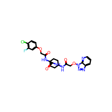 O=C(COn1nnc2cccnc21)NC12CCC(NC(=O)COc3ccc(Cl)c(F)c3)(CC1)C(=O)N2